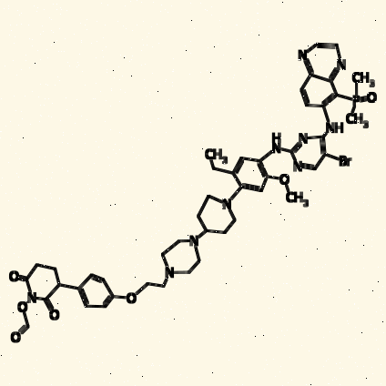 CCc1cc(Nc2ncc(Br)c(Nc3ccc4nccnc4c3P(C)(C)=O)n2)c(OC)cc1N1CCC(N2CCN(CCOc3ccc(C4CCC(=O)N(OC=O)C4=O)cc3)CC2)CC1